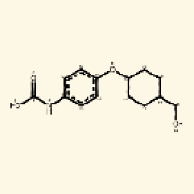 O=C(O)Nc1ccc(OC2CCC(CO)CC2)cc1